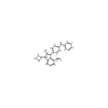 Nc1ncnc2c1c(-c1ccc(Oc3ccccc3)cc1)c(I)n2C1CCC1